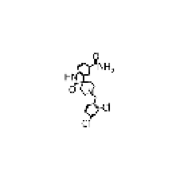 NC(=O)c1ccc2c(c1)C1(CCN(Cc3ccc(Cl)cc3Cl)CC1)C(=O)N2